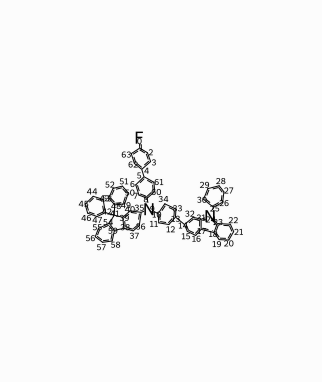 Fc1ccc(-c2ccc(N(c3ccc(-c4ccc5c6ccccc6n(-c6ccccc6)c5c4)cc3)c3ccc4c(c3)C(c3ccccc3)(c3ccccc3)c3ccccc3-4)cc2)cc1